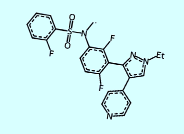 [CH2]N(c1ccc(F)c(-c2nn(CC)cc2-c2ccncc2)c1F)S(=O)(=O)c1ccccc1F